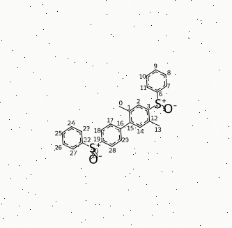 Cc1cc([S+]([O-])c2ccccc2)c(C)cc1-c1ccc([S+]([O-])c2ccccc2)cc1